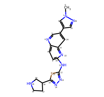 Cn1cc(-c2cnc3ccc(Nc4nnc(C5CCNC5)s4)nc3c2)cn1